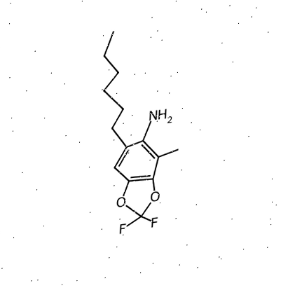 CCCCCCc1cc2c(c(C)c1N)OC(F)(F)O2